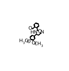 COc1ccc(C(CC#N)NC(=O)c2ccccc2C=O)cc1OC